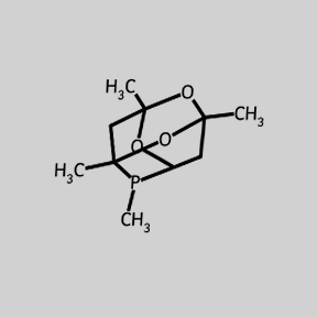 CP1C2CC3(C)OC(C)(CC1(C)O3)O2